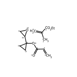 C=C(C)C(=O)OCC.C=CC(=O)OC1(C2CO2)CC1